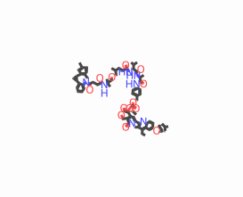 CCc1c2c(nc3ccc(O[Si](C)(C)C(C)(C)C)cc13)-c1cc3c(c(=O)n1C2)COC(=O)[C@@]3(CC)OC(=O)OCc1ccc(NC(=O)C(C)NC(=O)[C@@H](NC(=O)CCC(C)COCC(C)(C)NC(=O)CCC(=O)N2Cc3ccc(C)cc3C3=C(C3)c3ccccc32)C(C)C)cc1